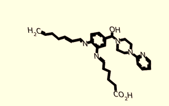 C=CCC/C=C/C=N/c1ccc(C(O)N2CCN(c3ccccn3)CC2)cc1/N=C/CCCCC(=O)O